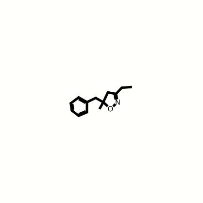 CCC1=NOC(C)(Cc2ccccc2)C1